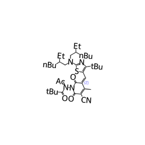 CCCCC(CC)CN(CC(CC)CCCC)c1nc(C(C)(C)C)c(/C=C2\C(=O)N(N(C(C)=O)C(=O)C(C)(C)C)C(=O)C(C#N)=C2C)s1